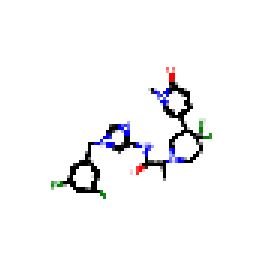 CC(C(=O)Nc1cn(Cc2cc(F)cc(F)c2)cn1)N1CCC(F)(F)C(c2ccc(=O)n(C)c2)C1